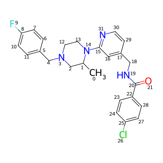 CC1CN(Cc2ccc(F)cc2)CCN1c1cc(CNC(=O)c2ccc(Cl)cc2)ccn1